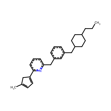 CCCC1CCC(Cc2cccc(Cc3cccc(C4=CC=C(C)C4)n3)c2)CC1